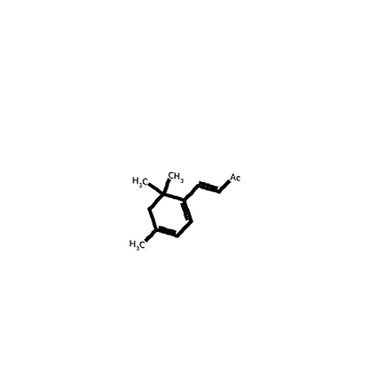 CC(=O)C=CC1=CC=C(C)CC1(C)C